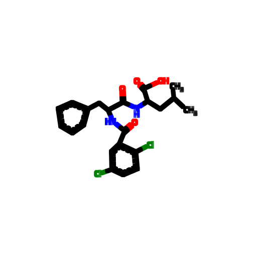 CC(C)CC(NC(=O)C(Cc1ccccc1)NC(=O)c1cc(Cl)ccc1Cl)C(=O)O